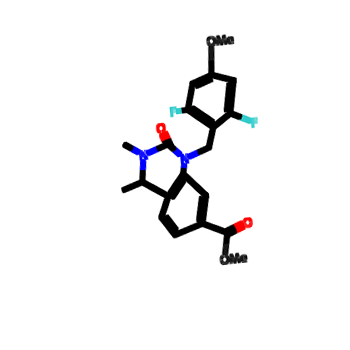 COC(=O)c1ccc2c(c1)N(Cc1c(F)cc(OC)cc1F)C(=O)N(C)C2C